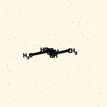 CCCCCCCCCCCCCCCCCc1c(O)ccc(C(=O)c2ccc(O)c(CCCCCCCCCCCCCCCCC)c2O)c1O